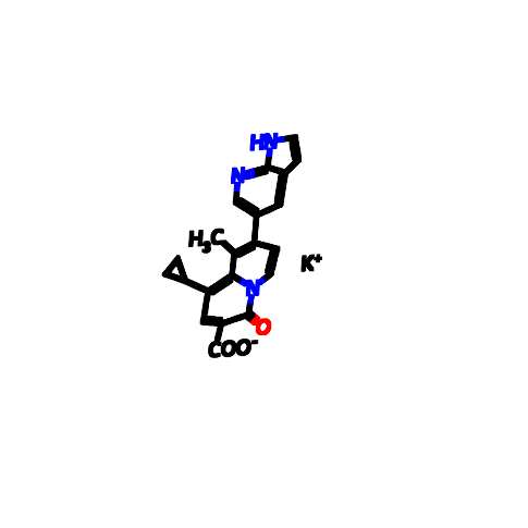 Cc1c(-c2cnc3[nH]ccc3c2)ccn2c(=O)c(C(=O)[O-])cc(C3CC3)c12.[K+]